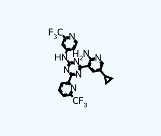 Nc1ncc(C2CC2)cc1-c1nc(Nc2ccnc(C(F)(F)F)c2)nc(-c2cccc(C(F)(F)F)n2)n1